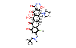 CN(Cc1cc(O)c2c(c1F)C[C@H]1C[C@H]3[C@H](N4CCCC4)C(O)=C(C(N)=O)C(=O)[C@@]3(O)C(O)=C1C2=O)CC(C)(C)C